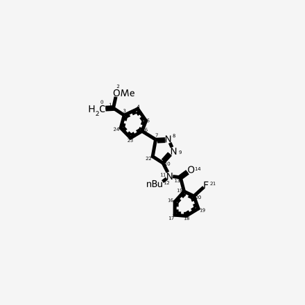 C=C(OC)c1ccc(C2=NN=C(N(CCCC)C(=O)c3ccccc3F)C2)cc1